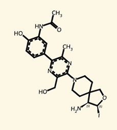 CC(=O)Nc1cc(-c2nc(CO)c(N3CCC4(CC3)CO[C@@H](I)[C@H]4N)nc2C)ccc1O